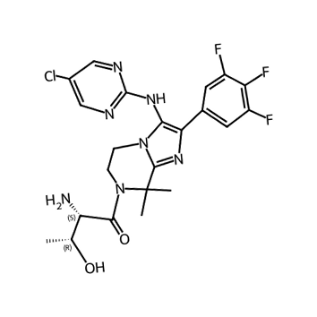 C[C@@H](O)[C@H](N)C(=O)N1CCn2c(nc(-c3cc(F)c(F)c(F)c3)c2Nc2ncc(Cl)cn2)C1(C)C